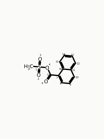 CS(=O)(=O)OC(=O)c1cccc2ccccc12